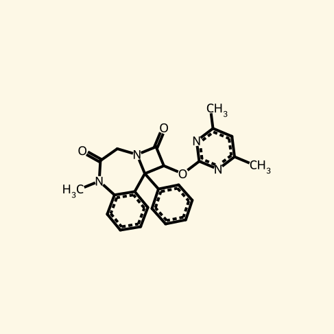 Cc1cc(C)nc(OC2C(=O)N3CC(=O)N(C)c4ccccc4C23c2ccccc2)n1